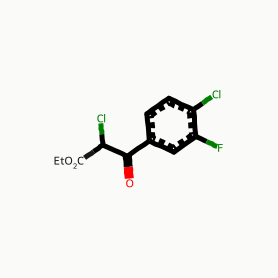 CCOC(=O)C(Cl)C(=O)c1ccc(Cl)c(F)c1